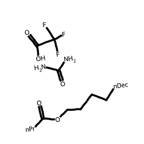 CCCCCCCCCCCCCCOC(=O)CCC.NC(N)=O.O=C(O)C(F)(F)F